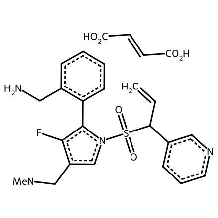 C=CC(c1cccnc1)S(=O)(=O)n1cc(CNC)c(F)c1-c1ccccc1CN.O=C(O)/C=C/C(=O)O